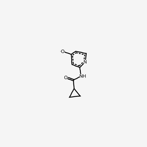 [O]c1ccnc(NC(=O)C2CC2)c1